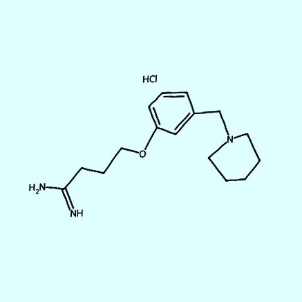 Cl.N=C(N)CCCOc1cccc(CN2CCCCC2)c1